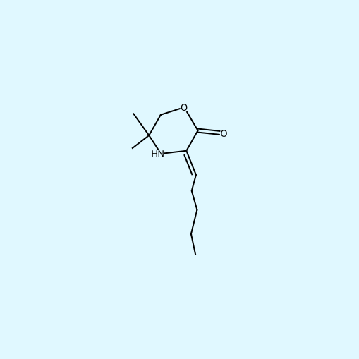 CCCCC=C1NC(C)(C)COC1=O